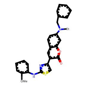 CCN(Cc1ccccc1)c1ccc2cc(-c3csc(Nc4ccccc4OC)n3)c(=O)oc2c1